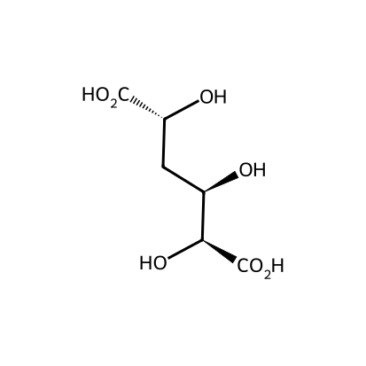 O=C(O)[C@H](O)C[C@@H](O)[C@H](O)C(=O)O